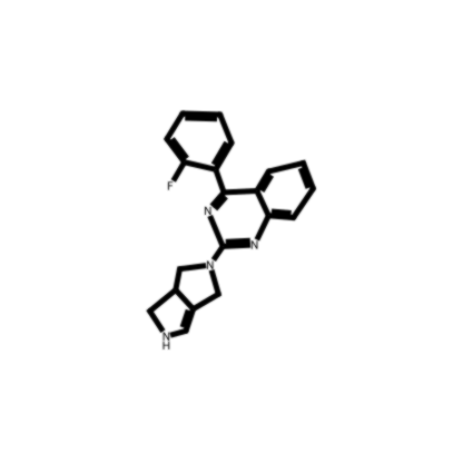 Fc1ccccc1-c1nc(N2CC3=CNCC3C2)nc2ccccc12